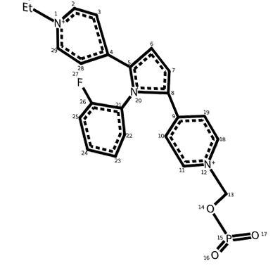 CC[n+]1ccc(-c2ccc(-c3cc[n+](COP(=O)=O)cc3)n2-c2ccccc2F)cc1